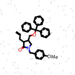 C=CCC1C(=O)N(Cc2ccc(OC)cc2)CC1COC(c1ccccc1)(c1ccccc1)c1ccccc1